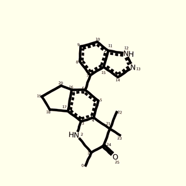 CC1Nc2c(cc(-c3cccc4[nH]ncc34)c3c2CCC3)C(C)(C)C1=O